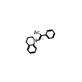 CC(=O)/C(=C\N1CCCc2ccccc21)c1ccccc1